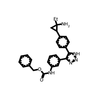 CCC1(N)CC1c1ccc(-c2[nH]nnc2-c2cccc(NC(=O)OCc3ccccc3)c2)cc1